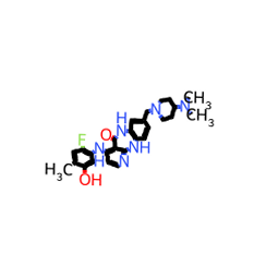 Cc1cc(F)c(Nc2ccnc3c2C(=O)Nc2cc(CN4CCC(N(C)C)CC4)ccc2N3)cc1O